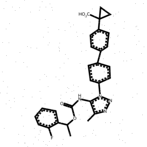 Cc1nnn(-c2ccc(-c3ccc(C4(C(=O)O)CC4)cc3)cc2)c1NC(=O)OC(C)c1ccccc1F